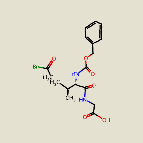 CC(=O)Br.CC(C)[C@H](NC(=O)OCc1ccccc1)C(=O)NCC(=O)O